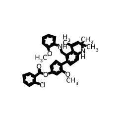 COc1ccccc1NCc1c(-c2ccc(OC(=O)c3ccccc3Cl)cc2OC)ccc2c1C(C)=CC(C)(C)N2